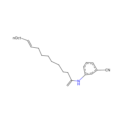 C=C(CCCCCCCC=CCCCCCCCC)Nc1cccc(C#N)c1